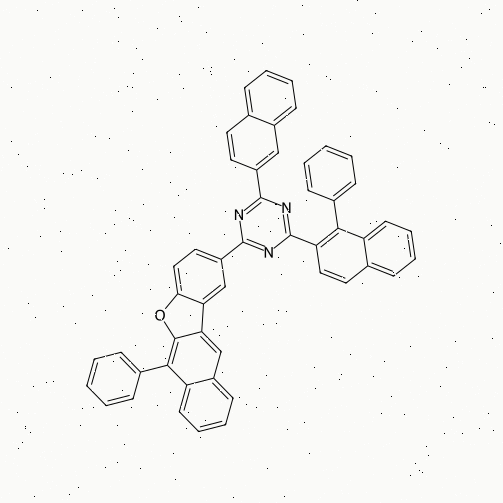 c1ccc(-c2c(-c3nc(-c4ccc5ccccc5c4)nc(-c4ccc5oc6c(-c7ccccc7)c7ccccc7cc6c5c4)n3)ccc3ccccc23)cc1